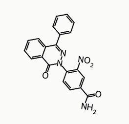 NC(=O)c1ccc(-n2nc(-c3ccccc3)c3ccccc3c2=O)c([N+](=O)[O-])c1